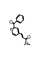 CN(C)C(=O)C=Cc1ccnc(C(=O)c2ccccc2)c1